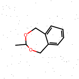 CC1OCc2ccccc2CO1